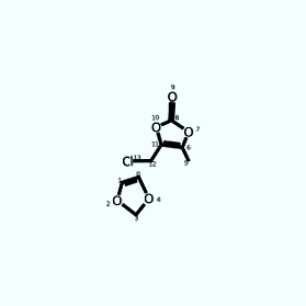 C1=COCO1.Cc1oc(=O)oc1CCl